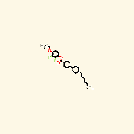 CCCCCC[C@H]1CC[C@H]([C@H]2CC[C@H](C(=O)Oc3ccc(OCC)c(F)c3F)CC2)CC1